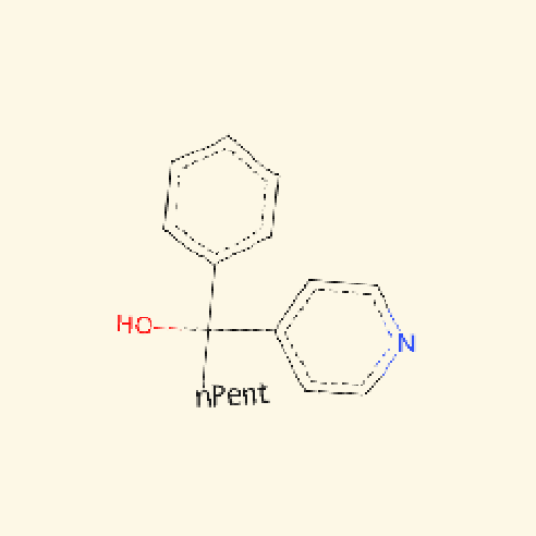 CCCCCC(O)(c1ccccc1)c1ccncc1